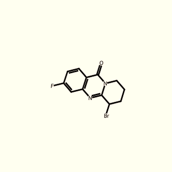 O=c1c2ccc(F)cc2nc2n1CCCC2Br